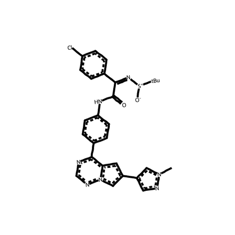 Cn1cc(-c2cc3c(-c4ccc(NC(=O)/C(=N\[S+]([O-])C(C)(C)C)c5ccc(Cl)cc5)cc4)ncnn3c2)cn1